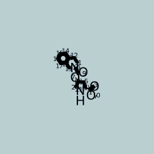 COC(=O)[C@@H]1C[C@@H](OC(=O)N2CCc3ccccc3C2)CN1